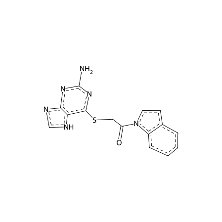 Nc1nc(SCC(=O)n2ccc3ccccc32)c2[nH]cnc2n1